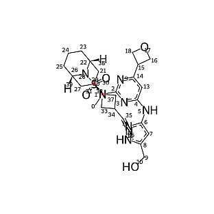 CN(c1nc(Nc2cc(CO)[nH]n2)cc(C2COC2)n1)[C@@H]1C[C@H]2CCC[C@@H](C1)N2S(=O)(=O)N1CC(C#N)C1